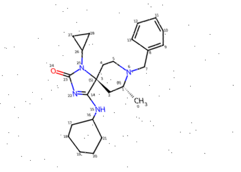 C[C@@H]1C[C@@]2(CCN1Cc1ccccc1)C(NC1CCCCC1)=NC(=O)N2C1CC1